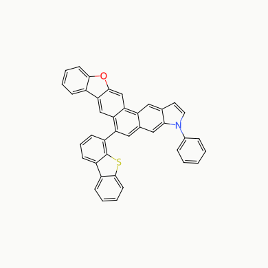 c1ccc(-n2ccc3cc4c(cc(-c5cccc6c5sc5ccccc56)c5cc6c(cc54)oc4ccccc46)cc32)cc1